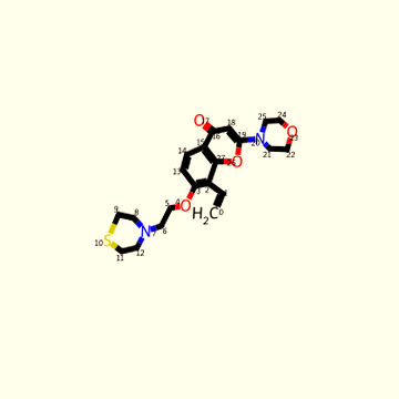 C=Cc1c(OCCN2CCSCC2)ccc2c(=O)cc(N3CCOCC3)oc12